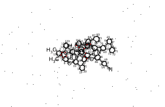 Cc1cc(C)c(-c2ccc3c(c2)B2c4c(cc(-c5ccccc5-c5cccc(Cc6cc(C)cc(C)c6-c6ccc7c(c6)B6c8c(cc(-c9ccc(C#N)cc9)cc8-n8c9ccc(-c%10ccccc%10-c%10ccccc%10)cc9c9cc(-c%10ccccc%10-c%10ccccc%10)cc6c98)O7)c5)cc4-n4c5ccc(-c6ccccc6-c6ccccc6)cc5c5cc(-c6ccccc6C6C=CC=CC6)cc2c54)O3)c(C)c1